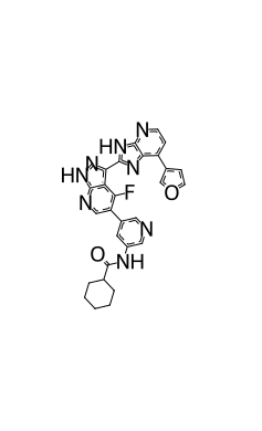 O=C(Nc1cncc(-c2cnc3[nH]nc(-c4nc5c(-c6ccoc6)ccnc5[nH]4)c3c2F)c1)C1CCCCC1